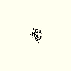 [Ga].[Mg].[Na].[Se]